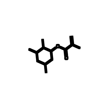 C=C(C)C(=O)OC1CC(C)CC(C)C1C